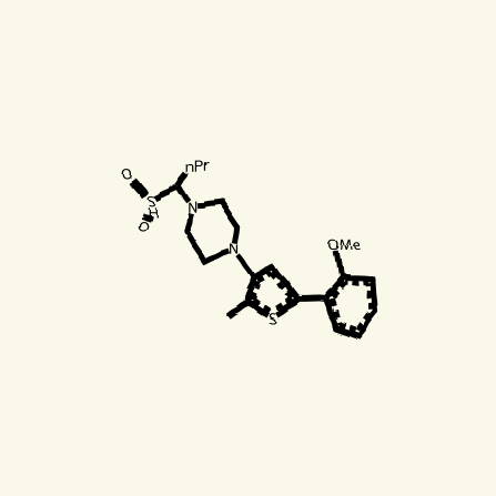 CCCC(N1CCN(c2cc(-c3ccccc3OC)sc2C)CC1)[SH](=O)=O